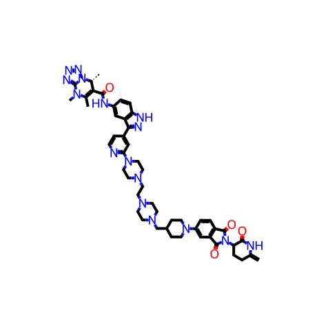 C=C1CCC(N2C(=O)c3ccc(N4CCC(CN5CCN(CCN6CCN(c7cc(-c8n[nH]c9ccc(NC(=O)C%10=C(C)N(C)c%11nnnn%11[C@@H]%10C)cc89)ccn7)CC6)CC5)CC4)cc3C2=O)C(=O)N1